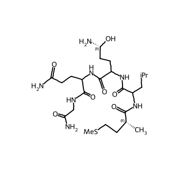 CSCC[C@@H](C)C(=O)NC(CC(C)C)C(=O)NC(CC[C@H](N)O)C(=O)NC(CCC(N)=O)C(=O)NCC(N)=O